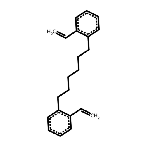 C=Cc1ccccc1CCCCCCc1ccccc1C=C